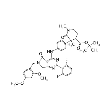 COc1ccc(CN2Cc3nc(-c4c(F)cccc4F)nc(Nc4ccc(C5(C)C(=O)N(C)CCC5C(=O)OC(C)(C)C)cc4)c3C2=O)c(OC)c1